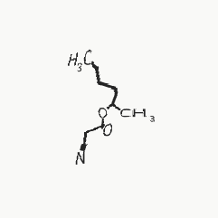 CCCCC(C)OC(=O)CC#N